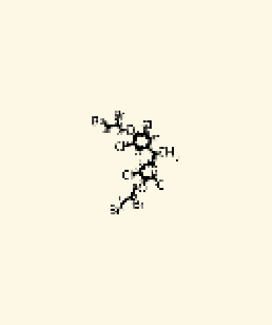 CC(c1cc(Cl)c(OCC(Br)CBr)c(Cl)c1)c1cc(Cl)c(OCC(Br)CBr)c(Cl)c1